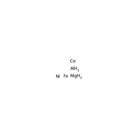 [AlH3].[Co].[Fe].[MgH2].[Ni]